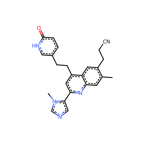 Cc1cc2nc(-c3cncn3C)cc(CCc3ccc(=O)[nH]c3)c2cc1CCC#N